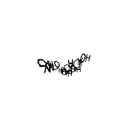 C[C@]12CC[C@@H]3[C@H]4CC[C@]5(O)CC5[C@@H]4CC[C@H]3[C@@H]1CC[C@@H]2C(=O)Cn1nc2ccccc2n1